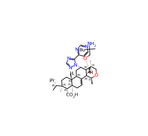 CC(C)[C@@H](C)[C@@]1(C)CC[C@]2(C)[C@H]3CC[C@H]4[C@@]5(C)CO[C@@H](C)[C@@]4(C[C@@H](n4ncnc4-c4ccncn4)[C@@H]5OCC(C)(N)C(C)(C)C)C3=CC[C@@]2(C)[C@@H]1C(=O)O